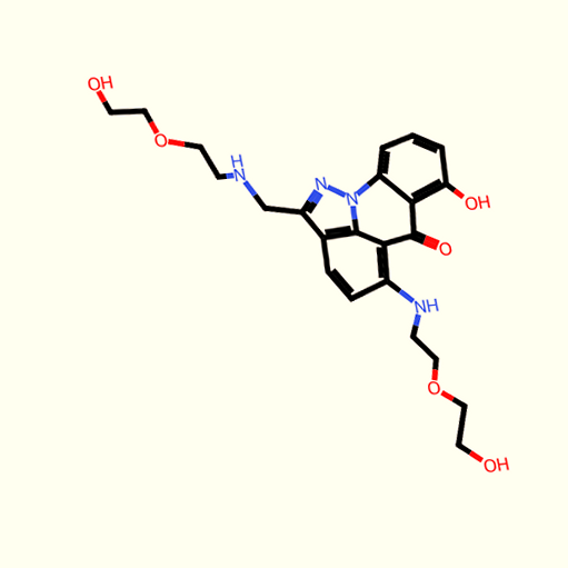 O=c1c2c(O)cccc2n2nc(CNCCOCCO)c3ccc(NCCOCCO)c1c32